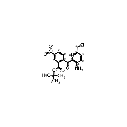 CC(C)(C)OC(=O)c1cc([N+](=O)[O-])ccc1C(=O)c1nc(CCl)ccc1N